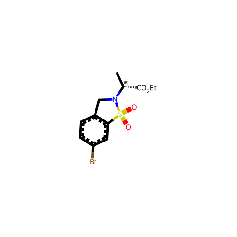 CCOC(=O)[C@@H](C)N1Cc2ccc(Br)cc2S1(=O)=O